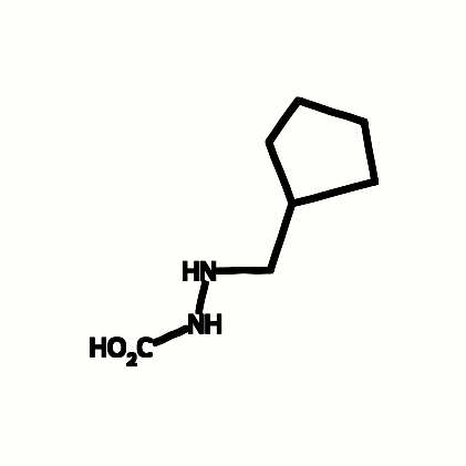 O=C(O)NNCC1CCCC1